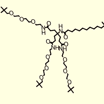 CC(C)(C)CCCCCCCCCCC(=O)NC(CCC(=O)NCCOCCOCCOCC(C)(C)C)(CCC(=O)NCCOCCOCCOCC(C)(C)C)CCC(=O)NCCOCCOCCOCC(C)(C)C